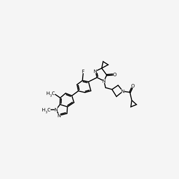 Cc1cc(-c2ccc(C3=NC4(CC4)C(=O)N3CC3CN(C(=O)C4CC4)C3)c(F)c2)cc2cnn(C)c12